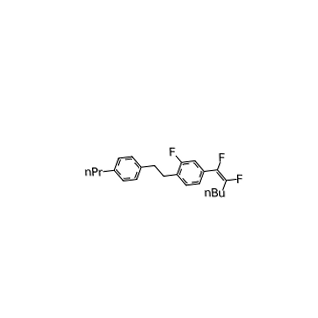 CCCC/C(F)=C(/F)c1ccc(CCc2ccc(CCC)cc2)c(F)c1